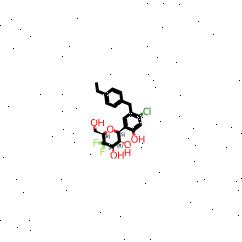 CCc1ccc(Cc2cc([C@@H]3O[C@H](CO)C(F)(F)[C@H](O)[C@H]3O)c(O)cc2Cl)cc1